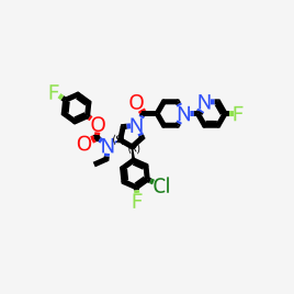 CCN(C(=O)Oc1ccc(F)cc1)[C@@H]1CN(C(=O)C2CCN(c3ccc(F)cn3)CC2)C[C@H]1c1ccc(F)c(Cl)c1